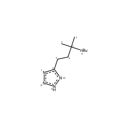 CCCCC(C)(C)CCc1nn[nH]n1